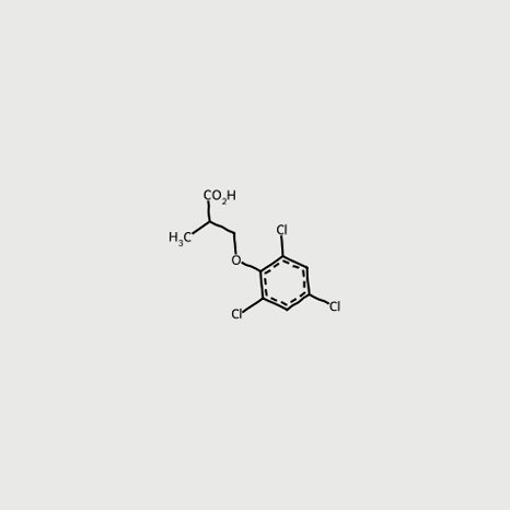 CC(COc1c(Cl)cc(Cl)cc1Cl)C(=O)O